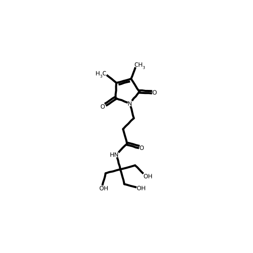 CC1=C(C)C(=O)N(CCC(=O)NC(CO)(CO)CO)C1=O